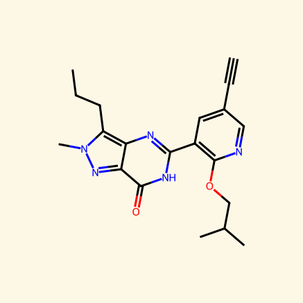 C#Cc1cnc(OCC(C)C)c(-c2nc3c(CCC)n(C)nc3c(=O)[nH]2)c1